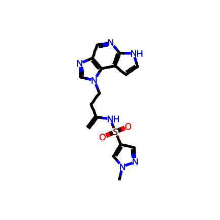 C=C(CCn1cnc2cnc3[nH]ccc3c21)NS(=O)(=O)c1cnn(C)c1